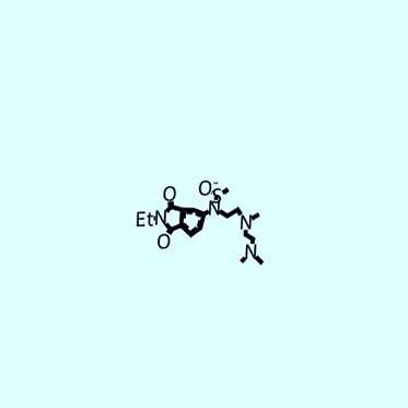 CCN1C(=O)c2ccc(N(CCN(C)CCN(C)C)[S+](C)[O-])cc2C1=O